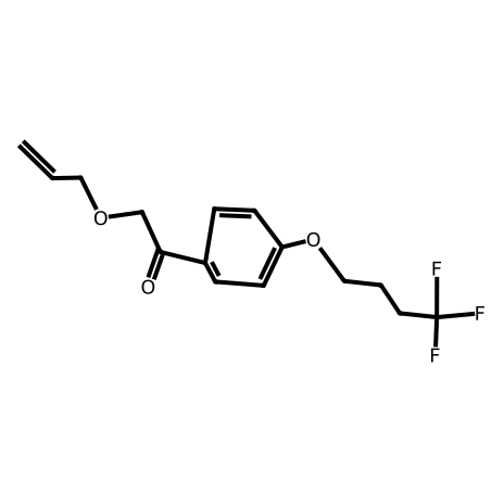 C=CCOCC(=O)c1ccc(OCCCC(F)(F)F)cc1